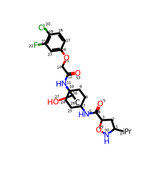 CC(C)C1CC(C(=O)NC23CCC(NC(=O)COc4ccc(Cl)c(F)c4)(CC2)C(O)C3)ON1